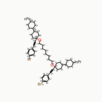 CCCC1CCC(C2CCC(C#Cc3ccc(Br)cc3)(OCCCCCCCCOC3(C#Cc4ccc(Br)cc4)CCC(C4CCC(CCC)CC4)CC3)CC2)CC1